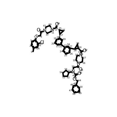 Cc1ccc(SCC(=O)N2CCN(C(=O)[C@@H]3C[C@H]3c3cccc(-c4cccc(C5CC5C(=O)N5CCN(C(=O)CN(C(=O)OCc6ccccc6)C6CCCC6)CC5)c4)c3)CC2)c(Cl)c1